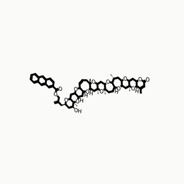 C=C(COC(=O)c1ccc2cc3ccccc3cc2c1)C[C@@H]1C[C@H](O)[C@]2(C)O[C@@H]3C[C@@H]4O[C@@H]5C[C@]6(C)O[C@]7(C)CC[C@@H]8OC9C[C@]%10(C)O[C@@H]%11C(C)=CC(=O)OC%11CC%10OC9C[C@@H](C)C8OC7CC6O[C@@]5(C)C/C=C\C4OC3CC2O1